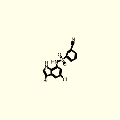 N#Cc1cccc(S(=O)(=O)Nc2cc(Cl)cc3c(Br)c[nH]c23)c1